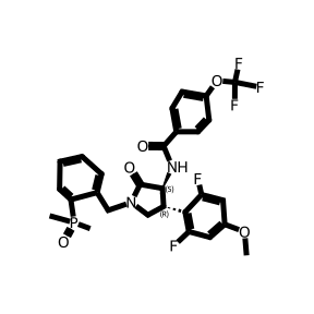 COc1cc(F)c([C@@H]2CN(Cc3ccccc3P(C)(C)=O)C(=O)[C@H]2NC(=O)c2ccc(OC(F)(F)F)cc2)c(F)c1